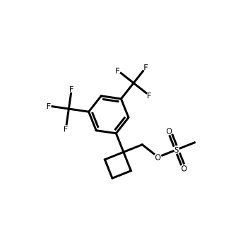 CS(=O)(=O)OCC1(c2cc(C(F)(F)F)cc(C(F)(F)F)c2)CCC1